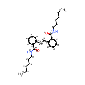 CCCCCCNC(=O)c1ccccc1[Se][Se]c1ccccc1C(=O)NCCCCCC